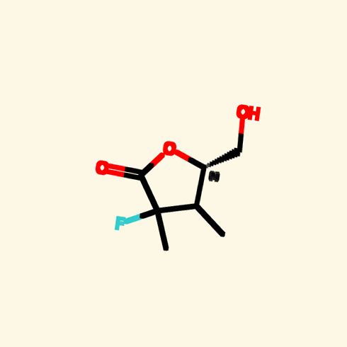 CC1[C@@H](CO)OC(=O)C1(C)F